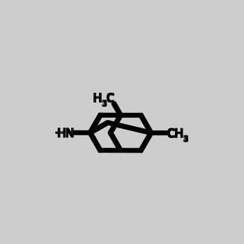 CC12CC3CC(C)(C1)CC([NH])(C3)C2